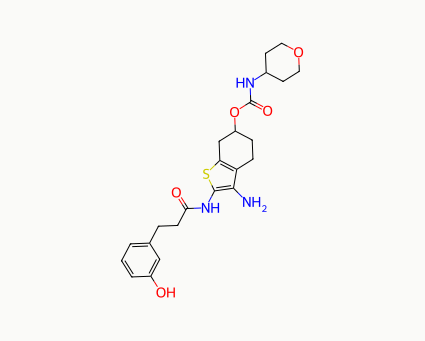 Nc1c(NC(=O)CCc2cccc(O)c2)sc2c1CCC(OC(=O)NC1CCOCC1)C2